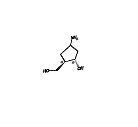 NC1C[C@H](CO)[C@@H](O)C1